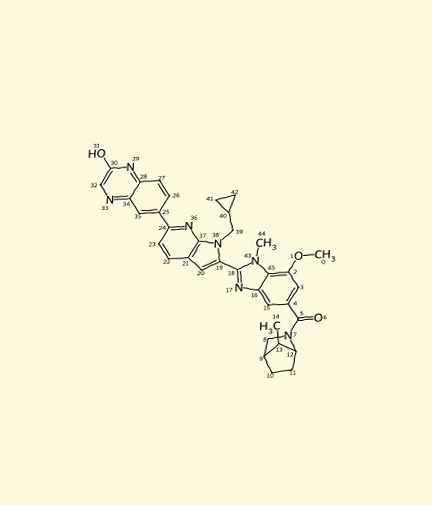 COc1cc(C(=O)N2CC3CCC2C3C)cc2nc(-c3cc4ccc(-c5ccc6nc(O)cnc6c5)nc4n3CC3CC3)n(C)c12